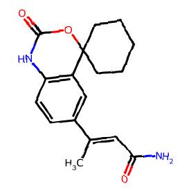 CC(=CC(N)=O)c1ccc2c(c1)C1(CCCCC1)OC(=O)N2